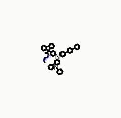 C=C(/C=C\C=C/C)C1(c2ccc(N(c3ccc(-c4ccc(-c5ccccc5)cc4)cc3)c3ccc4c(c3)c3ccccc3n4-c3ccccc3)cc2)c2ccccc2-c2ccccc21